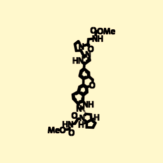 COC(=O)NCC(=O)N1CCCC1c1ncc(-c2ccc3c(c2)COc2cc4c(ccc5nc([C@@H]6C[C@@H]7CCC[C@@H]7N6C(=O)CNC(=O)OC)[nH]c54)cc2-3)[nH]1